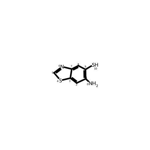 Nc1cc2scnc2cc1S